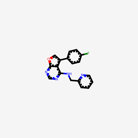 Fc1ccc(-c2coc3ncnc(NCc4ccccn4)c23)cc1